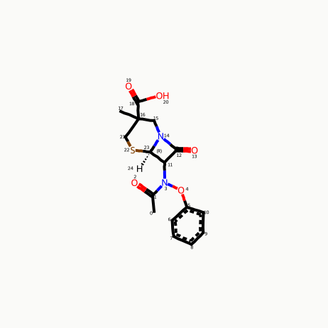 CC(=O)N(Oc1ccccc1)C1C(=O)N2CC(C)(C(=O)O)CS[C@H]12